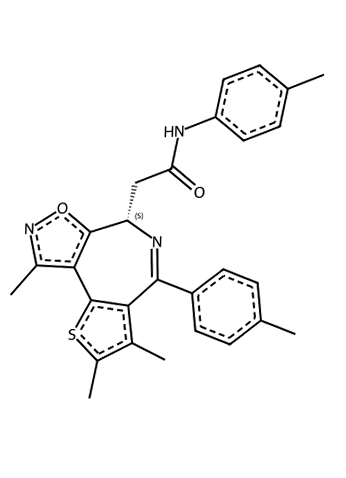 Cc1ccc(NC(=O)C[C@@H]2N=C(c3ccc(C)cc3)c3c(sc(C)c3C)-c3c(C)noc32)cc1